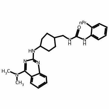 CCCc1ccccc1NC(=O)NCC1CCC(Nc2nc(N(C)C)c3ccccc3n2)CC1